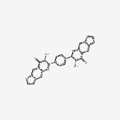 O=c1c(O)c(-c2ccc(-c3oc4cc5ccoc5cc4c(=O)c3O)cc2)oc2cc3occc3cc12